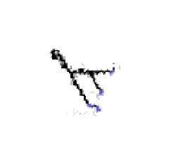 CC/C=C\CCCCOC(CCC(=O)OCC(COC(=O)CCCCCCC/C=C\C/C=C\CCCCC)COC(=O)OCCC1CCCN1CC)OCCCC/C=C\CC